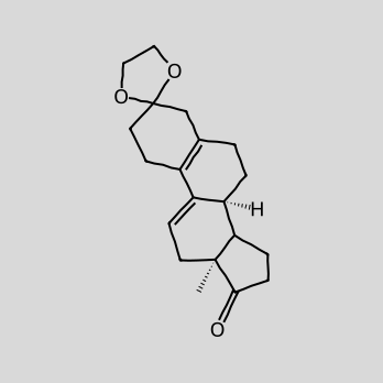 C[C@]12CC=C3C4=C(CC[C@H]3C1CCC2=O)CC1(CC4)OCCO1